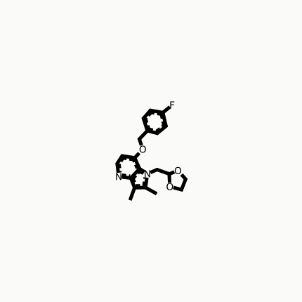 Cc1c(C)n(CC2OCCO2)c2c(OCc3ccc(F)cc3)ccnc12